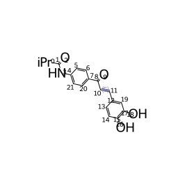 CC(C)C(=O)Nc1ccc(C(=O)/C=C/c2ccc(O)c(O)c2)cc1